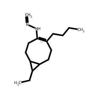 C=NN/C1=C(\CCCC)CCC2C(CC)C2CC1